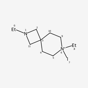 CCN1CC2(CC[N+](I)(CC)CC2)C1